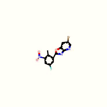 Cc1c(-c2nc3ncc(Br)cc3o2)cc(F)cc1[N+](=O)[O-]